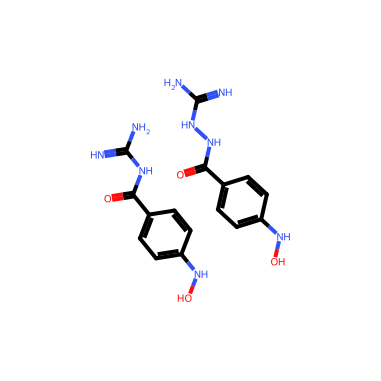 N=C(N)NC(=O)c1ccc(NO)cc1.N=C(N)NNC(=O)c1ccc(NO)cc1